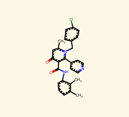 Cc1cccc(NC(=O)c2c(-c3ccncc3)n(Cc3ccc(Cl)cc3)c(C)cc2=O)c1C